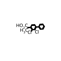 CC(C(=O)O)c1ccc(-c2ccccc2)c(Cl)c1Cl